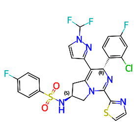 O=S(=O)(N[C@H]1CC2=C(c3ccn(C(F)F)n3)[C@H](c3ccc(F)cc3Cl)N=C(c3nccs3)N2C1)c1ccc(F)cc1